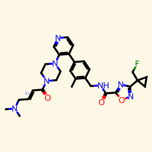 Cc1cc(-c2ccncc2N2CCN(C(=O)/C=C/CN(C)C)CC2)ccc1CNC(=O)c1nc(C2(CF)CC2)no1